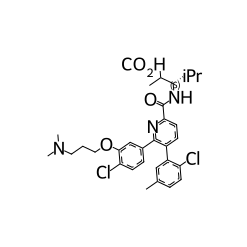 Cc1ccc(Cl)c(-c2ccc(C(=O)N[C@@H](C(C)C)C(C)C(=O)O)nc2-c2ccc(Cl)c(OCCCN(C)C)c2)c1